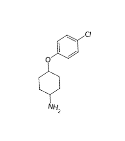 NC1CCC(Oc2ccc(Cl)cc2)CC1